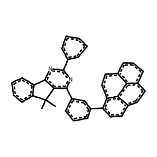 CC1(C)c2ccccc2-c2nc(-c3ccccc3)nc(-c3cccc(-c4ccc5ccc6cccc7ccc4c5c67)c3)c21